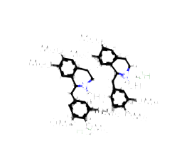 COc1cc2c(cc1OC)C(Cc1cc(OC)c(OC)c(OC)c1)N(C)CC2.COc1cc2c(cc1OC)C(Cc1cc(OC)c(OC)c(OC)c1)N(C)CC2.Cl.Cl